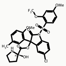 COc1ccc(S(=O)(=O)N2C(=O)C(OC(=O)[C@]3(O)CCCN3)(c3cc(C)ccc3OC)c3cc(Cl)ccc32)c(OC(F)(F)F)c1